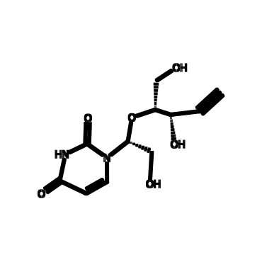 C#C[C@H](O)[C@@H](CO)O[C@H](CO)n1ccc(=O)[nH]c1=O